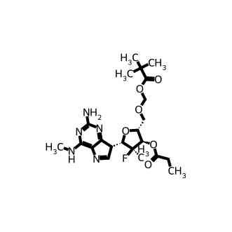 CCC(=O)O[C@@H]1[C@@H](COCOC(=O)C(C)(C)C)O[C@@H](C2C=Nc3c(NC)nc(N)nc32)[C@]1(C)F